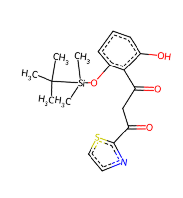 CC(C)(C)[Si](C)(C)Oc1cccc(O)c1C(=O)CC(=O)c1nccs1